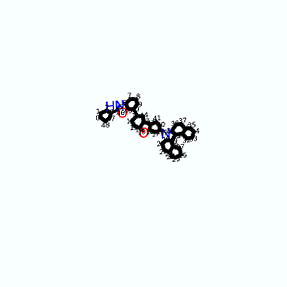 c1ccc(C2Nc3cccc(-c4ccc5oc6cc(-n7c8ccc9ccccc9c8c8c9ccccc9ccc87)ccc6c5c4)c3O2)cc1